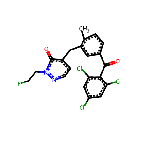 Cc1ccc(C(=O)c2c(Cl)cc(Cl)cc2Cl)cc1Cc1ccnn(CCF)c1=O